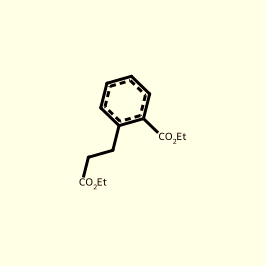 CCOC(=O)CCc1ccccc1C(=O)OCC